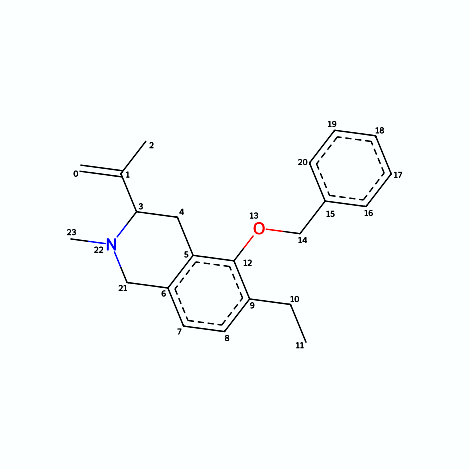 C=C(C)C1Cc2c(ccc(CC)c2OCc2ccccc2)CN1C